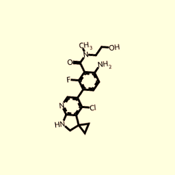 CN(CCO)C(=O)c1c(N)ccc(-c2cnc3c(c2Cl)C2(CC2)CN3)c1F